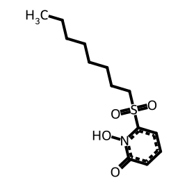 CCCCCCCCS(=O)(=O)c1cccc(=O)n1O